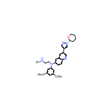 COc1cc(OC)cc(N(CCNC(C)C)c2ccc3ncc(-c4cnn([C@H]5CCCCO5)c4)cc3c2)c1